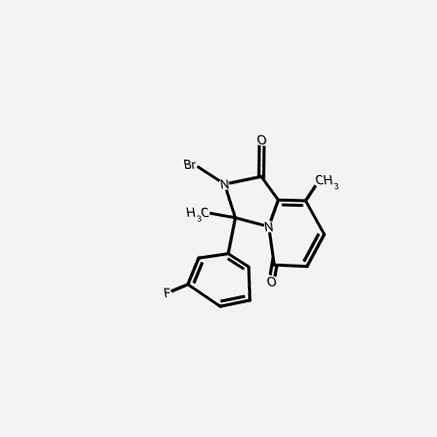 Cc1ccc(=O)n2c1C(=O)N(Br)C2(C)c1cccc(F)c1